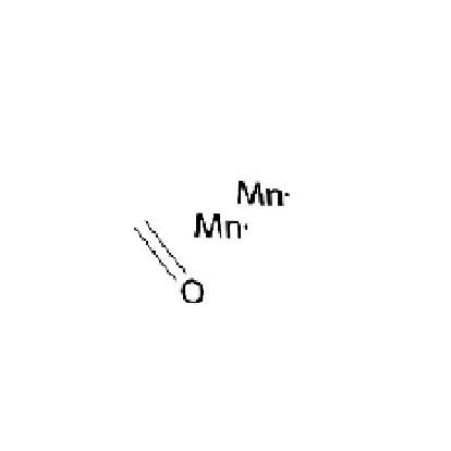 C=O.[Mn].[Mn]